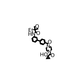 CCC1(C(=O)Nc2cccc(-c3ccc(C(=O)N4CCN(C(=O)C5(O)CC5)CC4)cc3)c2)COC1